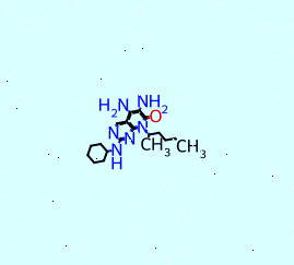 CCCCC(C)n1c(=O)c(N)c(N)c2cnc(NC3CCCCC3)nc21